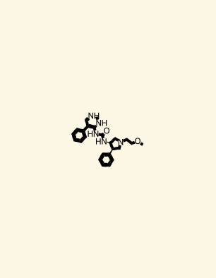 CN/C(NC(=O)N[C@@H]1CN(CCOC)C[C@H]1c1ccccc1)=C(\C=N)c1ccccc1